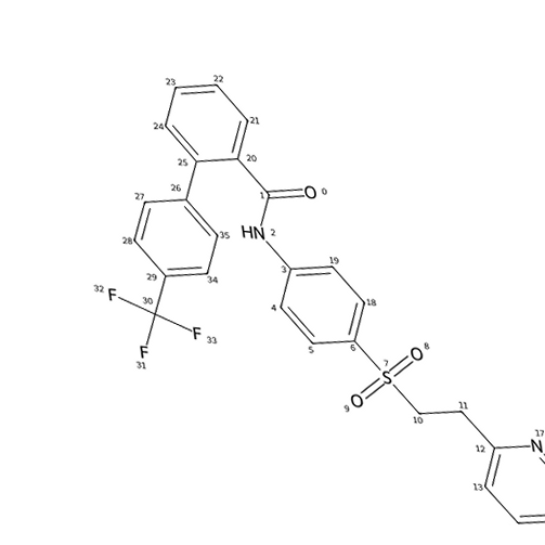 O=C(Nc1ccc(S(=O)(=O)CCc2ccccn2)cc1)c1ccccc1-c1ccc(C(F)(F)F)cc1